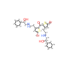 O=C(c1sc(Br)cc1CCNCC(O)c1ccccc1)c1sc(Br)cc1CCNCC(O)c1ccccc1